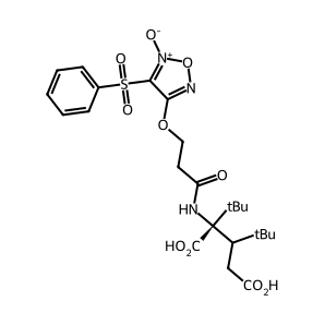 CC(C)(C)C(CC(=O)O)[C@@](NC(=O)CCOc1no[n+]([O-])c1S(=O)(=O)c1ccccc1)(C(=O)O)C(C)(C)C